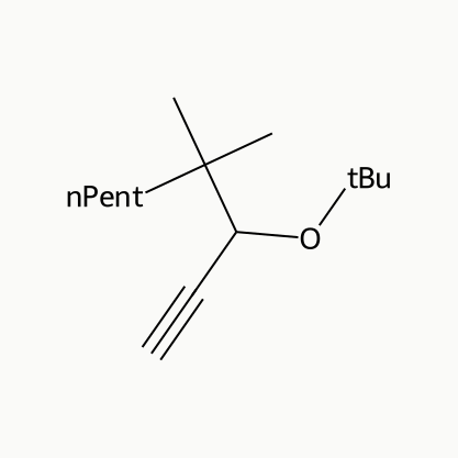 C#CC(OC(C)(C)C)C(C)(C)CCCCC